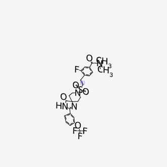 CN(C)C(=O)c1ccc(/C=C/S(=O)(=O)N2CCC3(CC2)N=C(c2cccc(OC(F)(F)F)c2)NC3=O)c(F)c1